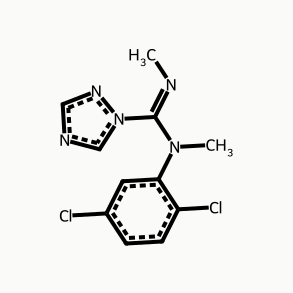 CN=C(N(C)c1cc(Cl)ccc1Cl)n1cncn1